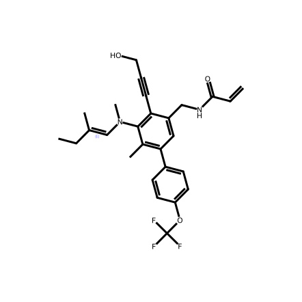 C=CC(=O)NCc1cc(-c2ccc(OC(F)(F)F)cc2)c(C)c(N(C)/C=C(\C)CC)c1C#CCO